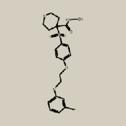 O=C(NO)C1(S(=O)(=O)c2ccc(OCCOc3cccc(F)c3)cc2)CCOCC1